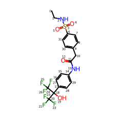 CCNS(=O)(=O)c1ccc(CC(=O)Nc2ccc(C(O)(C(F)(F)F)C(F)(F)F)cc2)cc1